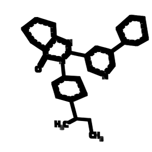 CCC(C)c1ccc(-n2c(-c3cncc(-c4ccccc4)c3)nc3ccccc3c2=O)cc1